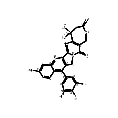 CC[C@@]1(O)CC(=O)OCc2c1cc1n(c2=O)Cc2c-1nc1cc(F)ccc1c2-c1cc(F)c(F)c(F)c1